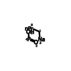 CCC[CH2][Na].O=PO